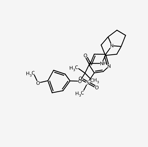 COc1ccc(OC(C)(C)C(=O)NC2CC3CCC(C2)N3c2ccc(S(C)(=O)=O)cn2)cc1